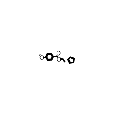 C1=CCC=C1.CCOC(=O)c1ccc(OC)cc1